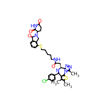 Cc1sc2c(c1C)C(c1ccc(Cl)cc1)=N[C@@H](CC(=O)NCCCCCSc1cccc3c1CN(C1CCC(=O)NC1=O)C3=O)c1nnc(C)n1-2